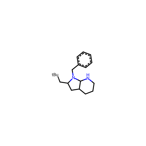 CC(C)(C)CC1CC2CCCNC2N1Cc1ccccc1